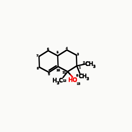 CC1(C)CCC2CCCC=C2C1(C)O